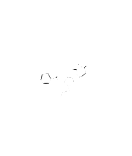 CCO[C@H]1O[C@@H](n2ccc(=O)[nH]c2=O)C(F)[C@H]1OC(=O)c1ccccc1